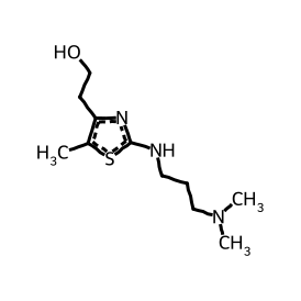 Cc1sc(NCCCN(C)C)nc1CCO